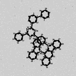 c1ccc(-c2cccc(-c3nc(-c4ccccc4)nc(-c4ccc(-n5c6ccccc6c6cc7ccccc7c(-n7c8ccccc8c8ccccc87)c65)cc4)n3)c2)cc1